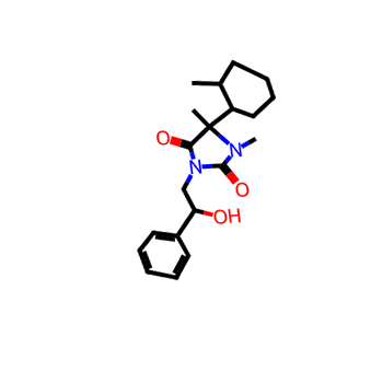 CC1CCCCC1C1(C)C(=O)N(CC(O)c2ccccc2)C(=O)N1C